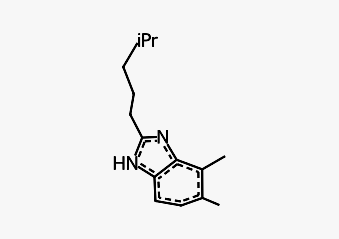 Cc1ccc2[nH]c(CCCC(C)C)nc2c1C